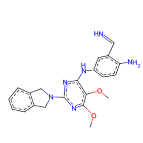 COc1nc(N2Cc3ccccc3C2)nc(Nc2ccc(N)c(C=N)c2)c1OC